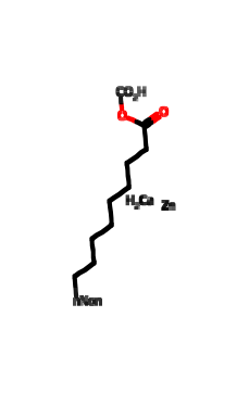 CCCCCCCCCCCCCCCCCC(=O)OC(=O)O.[CaH2].[Zn]